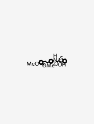 COc1ccc(CCc2ccc(NC(=O)C3=C(O)c4ccccc4SC3)cc2)c(OC)c1